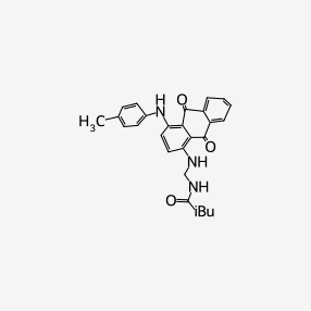 CCC(C)C(=O)NCNc1ccc(Nc2ccc(C)cc2)c2c1C(=O)c1ccccc1C2=O